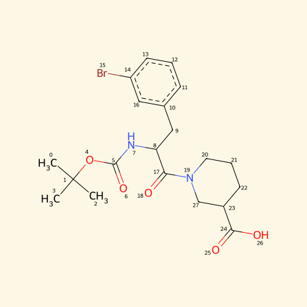 CC(C)(C)OC(=O)NC(Cc1cccc(Br)c1)C(=O)N1CCCC(C(=O)O)C1